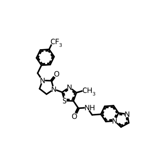 Cc1nc(N2CCN(Cc3ccc(C(F)(F)F)cc3)C2=O)sc1C(=O)NCc1ccc2nccn2c1